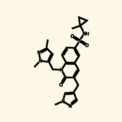 Cc1cc(Cn2c(=O)c(Cc3cnn(C)c3)cc3cc(S(=O)(=O)NC4(C)CC4)ccc32)n(C)n1